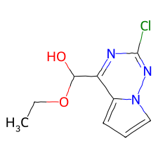 CCOC(O)c1nc(Cl)nn2cccc12